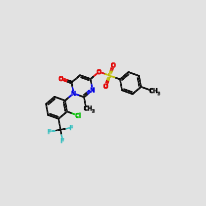 Cc1ccc(S(=O)(=O)Oc2cc(=O)n(-c3cccc(C(F)(F)F)c3Cl)c(C)n2)cc1